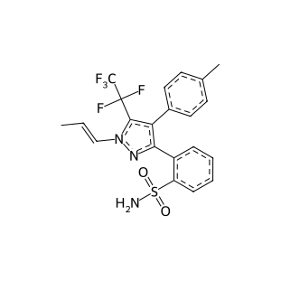 CC=Cn1nc(-c2ccccc2S(N)(=O)=O)c(-c2ccc(C)cc2)c1C(F)(F)C(F)(F)F